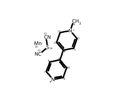 CN1C=CC(c2ccncc2)=CC1.N#CSC#N.[Mn]